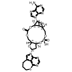 Nc1ncnc2c1ncn2[C@@H]1O[C@@H]2COP(=O)(S)O[C@H]3C[C@H](n4cc5c6c(ncnc64)SCCC5)O[C@@H]3COC(=O)O[C@@H]1[C@@H]2O